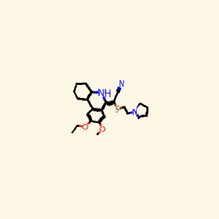 CCOc1cc2c(cc1OC)C(=C(C#N)SCCN1CCCC1)NC1CCCCC21